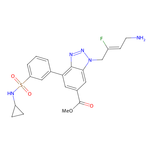 COC(=O)c1cc(-c2cccc(S(=O)(=O)NC3CC3)c2)c2nnn(C/C(F)=C/CN)c2c1